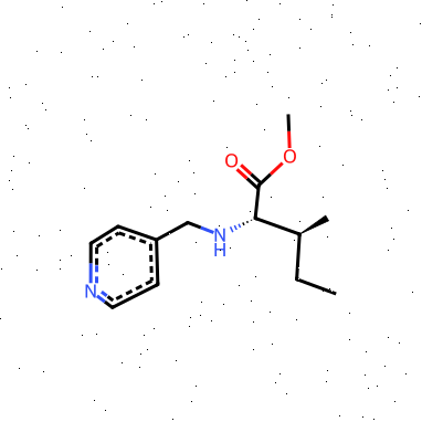 CC[C@H](C)[C@H](NCc1ccncc1)C(=O)OC